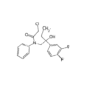 [CH2]CC(O)(CN(C(=O)CCl)c1ccccc1)c1ccc(F)c(F)c1